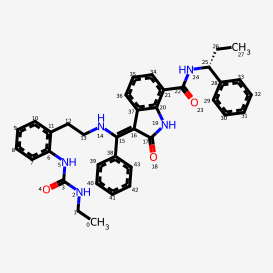 CCNC(=O)Nc1ccccc1CCNC(=C1C(=O)Nc2c(C(=O)N[C@H](CC)c3ccccc3)cccc21)c1ccccc1